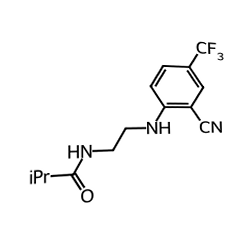 CC(C)C(=O)NCCNc1ccc(C(F)(F)F)cc1C#N